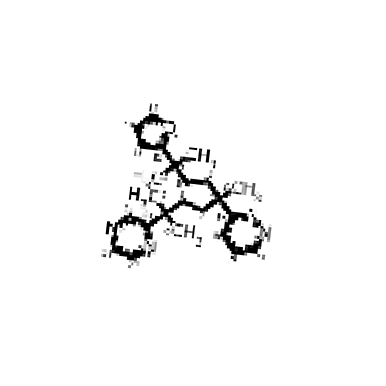 CC(C)(CCC(C)(CCC(C)(C)c1ccco1)c1cccnn1)c1cnccn1